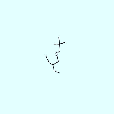 CCC(CC)CSCC(C)(C)C